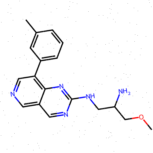 COCC(N)CNc1ncc2cncc(-c3cccc(C)c3)c2n1